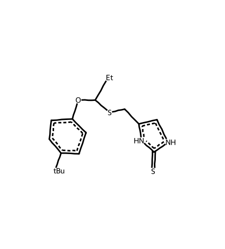 CCC(Oc1ccc(C(C)(C)C)cc1)SCc1c[nH]c(=S)[nH]1